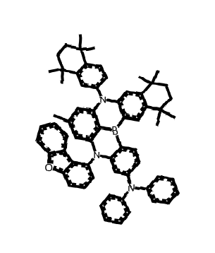 Cc1cc2c3c(c1)N(c1cccc4oc5ccccc5c14)c1cc(N(c4ccccc4)c4ccccc4)ccc1B3c1cc3c(cc1N2c1ccc2c(c1)C(C)(C)CCC2(C)C)C(C)(C)CCC3(C)C